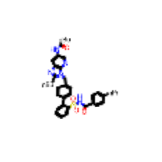 CCCCC(=O)Nc1cnc2c(c1)nc(CCCC)n2Cc1ccc(-c2ccccc2S(=O)(=O)NC(=O)c2ccc(CCC)cc2)cc1